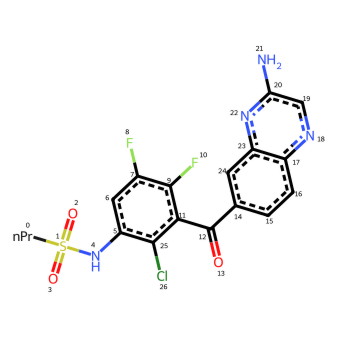 CCCS(=O)(=O)Nc1cc(F)c(F)c(C(=O)c2ccc3ncc(N)nc3c2)c1Cl